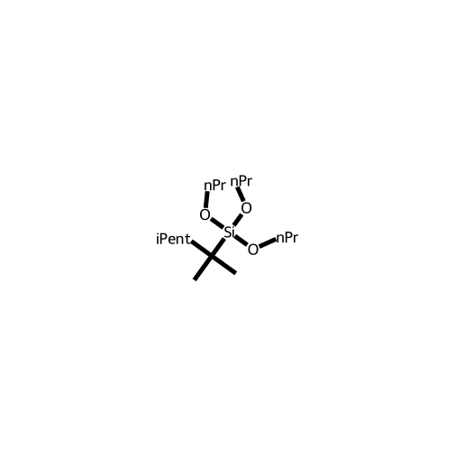 CCCO[Si](OCCC)(OCCC)C(C)(C)C(C)CCC